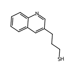 SCCCc1cnc2ccccc2c1